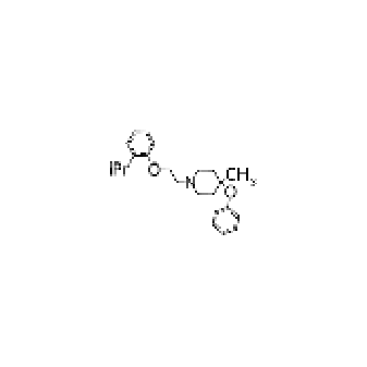 CC(C)c1ccccc1OCCN1CCC(C)(Oc2ccccc2)CC1